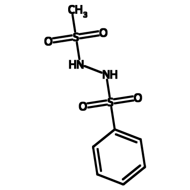 CS(=O)(=O)NNS(=O)(=O)c1ccccc1